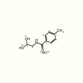 Cc1ccc(C(=O)NCC(O)O)cc1.Cl